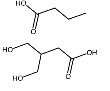 CCCC(=O)O.O=C(O)CC(CO)CO